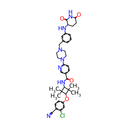 CC1(C)C(NC(=O)c2ccc(N3CCN(Cc4cccc(NC5CCC(=O)NC5=O)c4)CC3)nc2)C(C)(C)C1Oc1ccc(C#N)c(Cl)c1